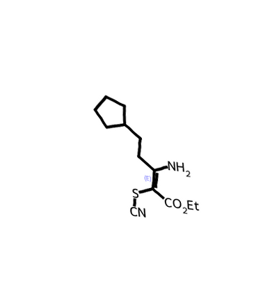 CCOC(=O)/C(SC#N)=C(\N)CCC1CCCC1